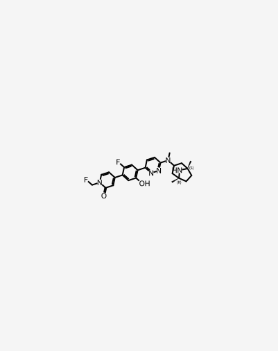 CN(c1ccc(-c2cc(F)c(-c3ccn(CF)c(=O)c3)cc2O)nn1)C1C[C@]2(C)CC[C@](C)(C1)N2